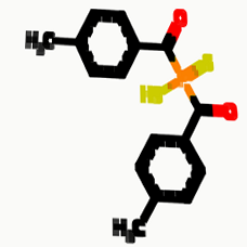 Cc1ccc(C(=O)P(=S)(S)C(=O)c2ccc(C)cc2)cc1